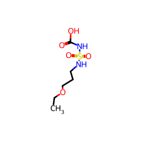 CCOCCCNS(=O)(=O)NC(=O)O